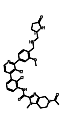 COc1cc(-c2nccc(-c3cccc(NC(=O)c4nc5c(n4C)CCN(C(C)=O)C5)c3Cl)c2Cl)ccc1CNC[C@H]1CCC(=O)N1